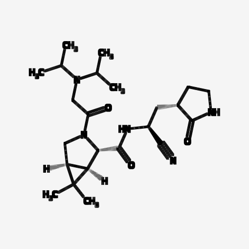 CC(C)N(CC(=O)N1C[C@H]2[C@@H]([C@H]1C(=O)N[C@H](C#N)C[C@@H]1CCNC1=O)C2(C)C)C(C)C